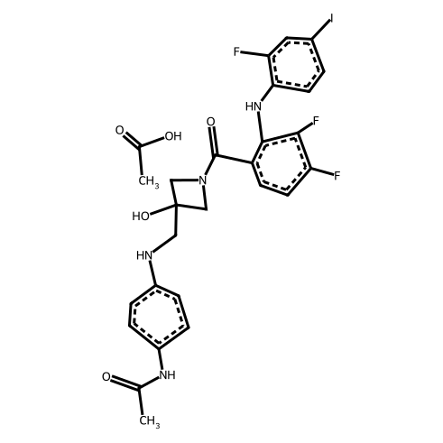 CC(=O)Nc1ccc(NCC2(O)CN(C(=O)c3ccc(F)c(F)c3Nc3ccc(I)cc3F)C2)cc1.CC(=O)O